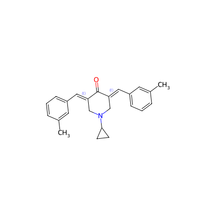 Cc1cccc(/C=C2\CN(C3CC3)C/C(=C\c3cccc(C)c3)C2=O)c1